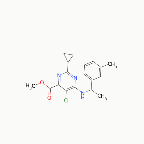 COC(=O)c1nc(C2CC2)nc(NC(C)c2cccc(C)c2)c1Cl